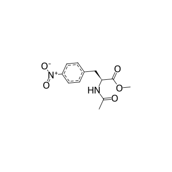 COC(=O)[C@H](Cc1ccc([N+](=O)[O-])cc1)NC(C)=O